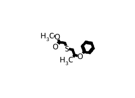 COC(=O)CSCC(C)Oc1ccccc1